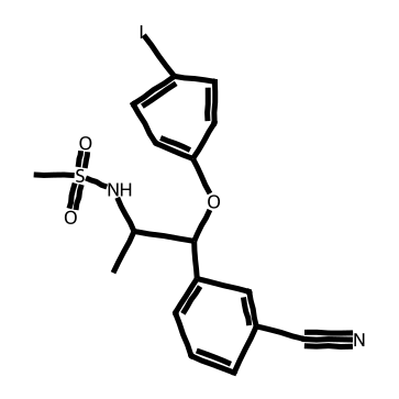 CC(NS(C)(=O)=O)C(Oc1ccc(I)cc1)c1cccc(C#N)c1